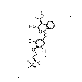 COC(C)=C(C(=O)O)c1ccccc1COc1cc(Cl)c(OCC=C(Cl)C(F)(F)F)c(Cl)c1